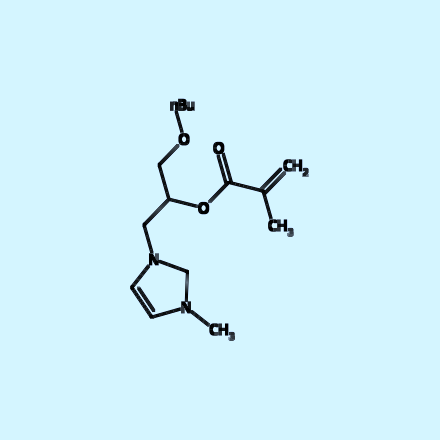 C=C(C)C(=O)OC(COCCCC)CN1C=CN(C)C1